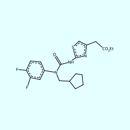 CCOC(=O)Cc1csc(NC(=O)N(CC2CCCC2)c2ccc(F)c(F)c2)n1